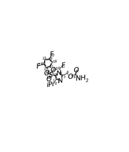 CC(C)c1nc(COC(N)=O)n(CF)c1S(=O)(=O)Oc1cc(F)cc(F)c1